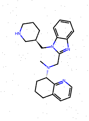 CN(Cc1nc2ccccc2n1C[C@@H]1CCCNC1)[C@H]1CCCc2cccnc21